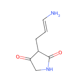 NC=CCC1C(=O)CNC1=O